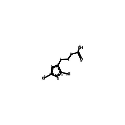 O=C(O)CCCc1cc(Cl)sc1Cl